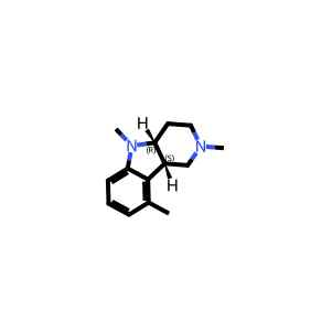 Cc1cccc2c1[C@H]1CN(C)CC[C@H]1N2C